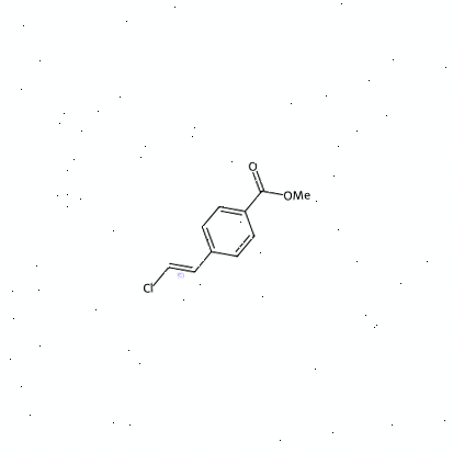 COC(=O)c1ccc(/C=C/Cl)cc1